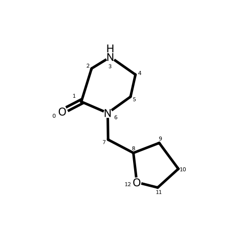 O=C1CNCCN1CC1CCCO1